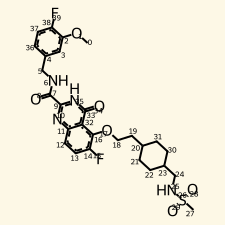 COc1cc(CNC(=O)c2nc3ccc(F)c(OCCC4CCC(CNS(C)(=O)=O)CC4)c3c(=O)[nH]2)ccc1F